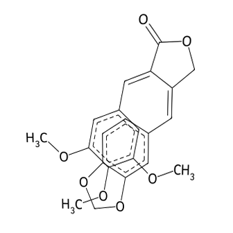 COc1cc(/C=C2/C(=O)OC/C2=C/c2ccc3c(c2)OCO3)cc(OC)c1OC